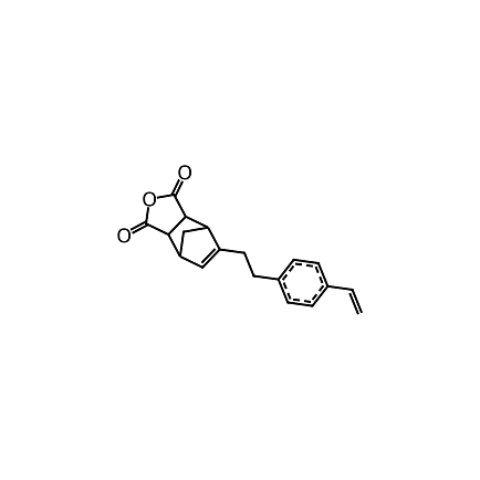 C=Cc1ccc(CCC2=CC3CC2C2C(=O)OC(=O)C32)cc1